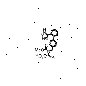 COC(=O)N(Cc1ccc(-c2ccccc2-c2nnn[nH]2)cc1)[C@H](C(=O)O)C(C)C